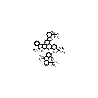 CC(C)(C)c1ccc(-c2cccc3c2oc2c(C(C)(C)C)cccc23)c(N(c2ccc3c(c2)C(C)(C)c2ccccc2-3)c2ccc3c(c2)C(C)(C)c2cccc(C(C)(C)C)c2-3)c1